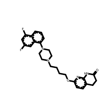 O=C1CCc2ccc(OCCCCN3CCN(c4cccc5c(F)cc(F)cc45)CC3)nc2N1